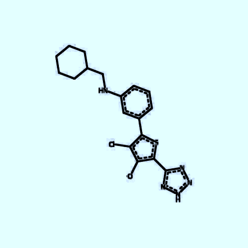 [O]c1c(-c2nn[nH]n2)sc(-c2cccc(NCC3CCCCC3)c2)c1Cl